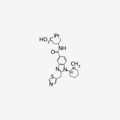 CC(C)CC(CC(=O)O)NC(=O)c1ccc2c(c1)nc(Cc1cncs1)n2[C@@H]1CCCC[C@H]1C